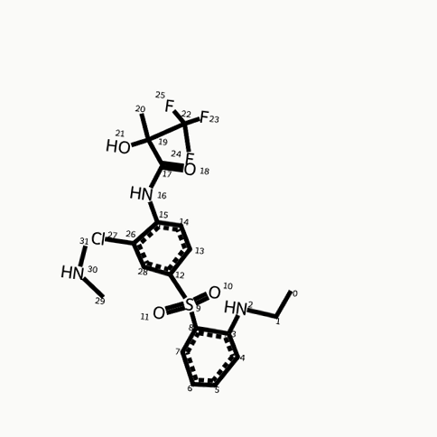 CCNc1ccccc1S(=O)(=O)c1ccc(NC(=O)C(C)(O)C(F)(F)F)c(Cl)c1.CNC